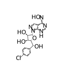 O/N=c1/nc[nH]c2c1cnn2[C@@H]1O[C@H]([C@H](O)c2ccc(Cl)cc2)[C@@H](O)[C@H]1O